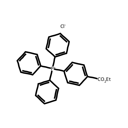 CCOC(=O)c1ccc([P+](c2ccccc2)(c2ccccc2)c2ccccc2)cc1.[Cl-]